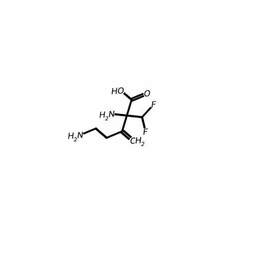 C=C(CCN)C(N)(C(=O)O)C(F)F